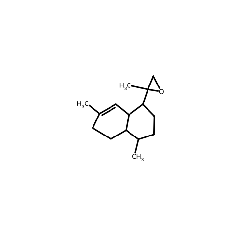 CC1=CC2C(CC1)C(C)CCC2C1(C)CO1